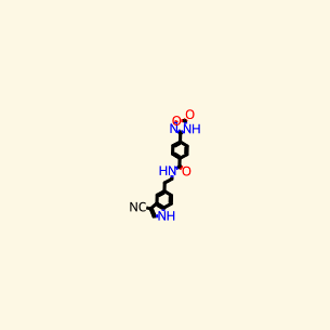 N#Cc1c[nH]c2ccc(CCNC(=O)c3ccc(-c4noc(=O)[nH]4)cc3)cc12